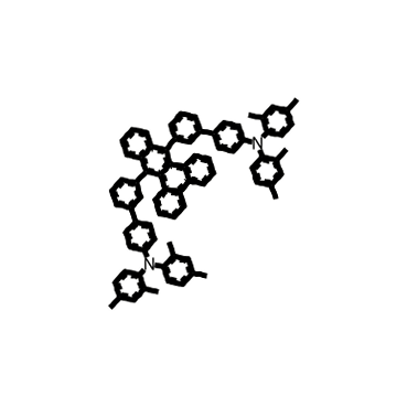 Cc1ccc(N(c2ccc(-c3cccc(-c4c5ccccc5c(-c5cccc(-c6ccc(N(c7ccc(C)cc7C)c7ccc(C)cc7C)cc6)c5)c5c6ccccc6c6ccccc6c45)c3)cc2)c2ccc(C)cc2C)c(C)c1